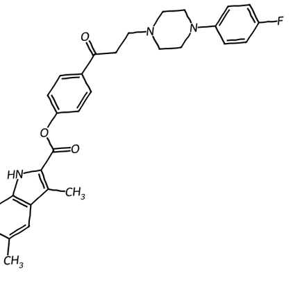 Cc1ccc2[nH]c(C(=O)Oc3ccc(C(=O)CCN4CCN(c5ccc(F)cc5)CC4)cc3)c(C)c2c1